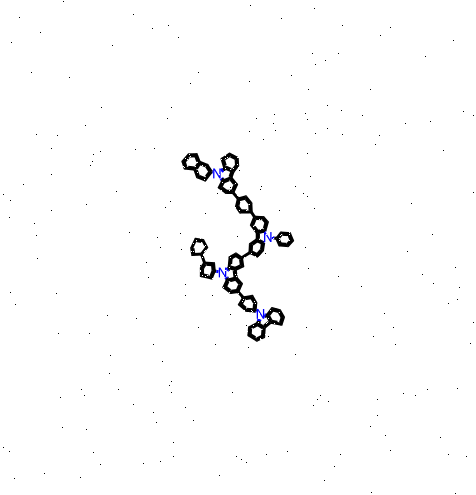 C1=CCC(c2cccc(-n3c4ccc(-c5ccc(-n6c7ccccc7c7ccccc76)cc5)cc4c4cc(-c5ccc6c(c5)c5cc(-c7ccc(-c8ccc9c(c8)c8ccccc8n9-c8ccc9ccccc9c8)cc7)ccc5n6-c5ccccc5)ccc43)c2)C=C1